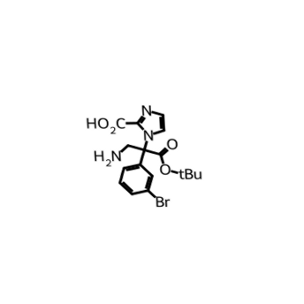 CC(C)(C)OC(=O)C(CN)(c1cccc(Br)c1)n1ccnc1C(=O)O